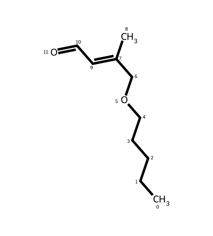 CCCCCOCC(C)=CC=O